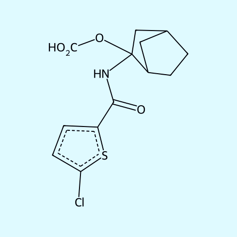 O=C(O)OC1(NC(=O)c2ccc(Cl)s2)CC2CCC1C2